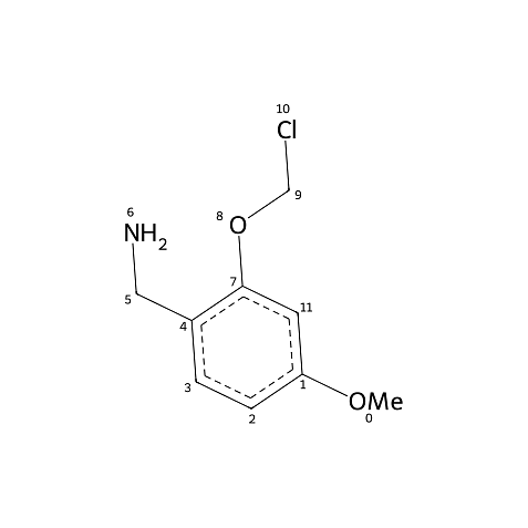 COc1ccc(CN)c(OCCl)c1